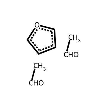 CC=O.CC=O.c1ccoc1